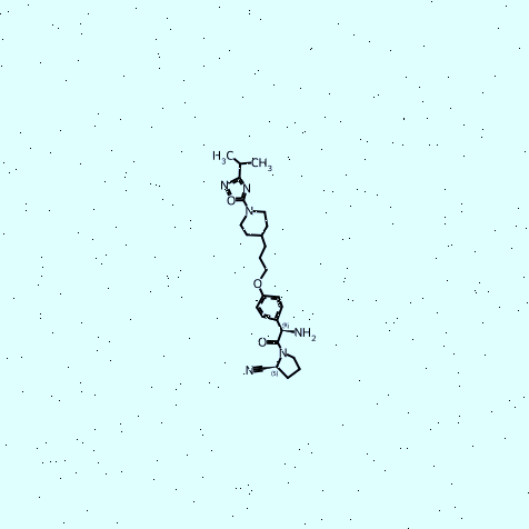 CC(C)c1noc(N2CCC(CCCOc3ccc([C@@H](N)C(=O)N4CCC[C@H]4C#N)cc3)CC2)n1